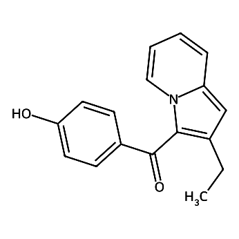 CCc1cc2ccccn2c1C(=O)c1ccc(O)cc1